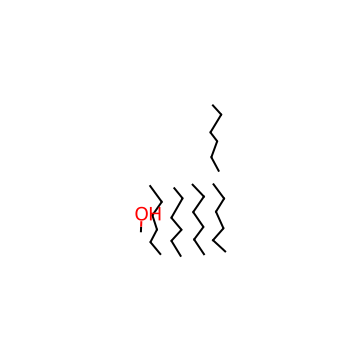 CCCCCC.CCCCCC.CCCCCC.CCCCCC.CCCCCC.CO